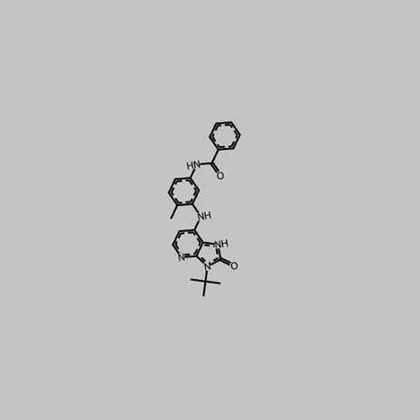 Cc1ccc(NC(=O)c2ccccc2)cc1Nc1ccnc2c1[nH]c(=O)n2C(C)(C)C